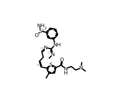 C/N=C(\N=C/C/C=C\c1sc(C(=O)NCCN(C)C)cc1C)Nc1cccc([S+](N)[O-])c1